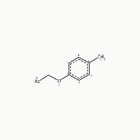 CC(=O)COc1ccc(C)cc1